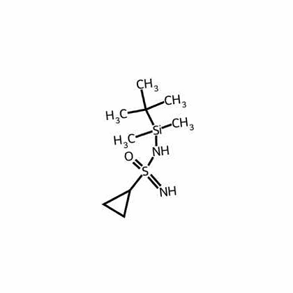 CC(C)(C)[Si](C)(C)NS(=N)(=O)C1CC1